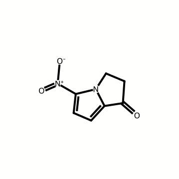 O=C1CCn2c1ccc2[N+](=O)[O-]